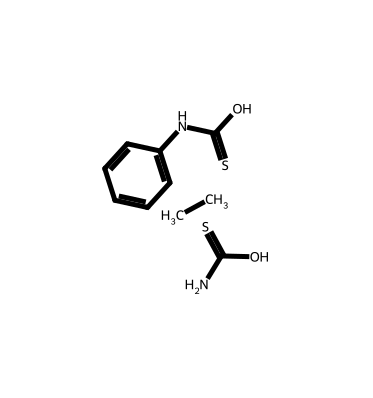 CC.NC(O)=S.OC(=S)Nc1ccccc1